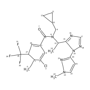 CC1C(Cl)=CC(C(=O)N(CC2CC2)C(C)c2ncnn2-c2ccn(C)n2)=CC1C(F)(F)F